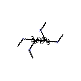 CCCCCCCC/C=C\CCCCCCCC(=O)OCC(COC(=O)CCC(=O)OCC(COC(=O)CCCCCCC/C=C\CCCCCCCC)OC(=O)CCCCCCC/C=C\CCCCCCCC)OC(=O)CCCCCCC/C=C\CCCCCCCC